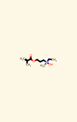 C=C(C)C(=O)OCCC[N+](C)(O)CC